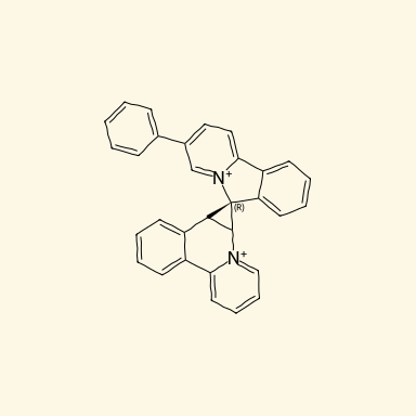 c1ccc(-c2ccc3[n+](c2)[C@@]2(c4ccccc4-3)C3c4ccccc4-c4cccc[n+]4C32)cc1